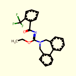 CCOC(=NC(=O)c1ccccc1C(F)(F)F)N1Cc2ccccc2-c2ccccc2C1